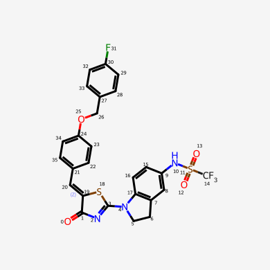 O=C1N=C(N2CCc3cc(NS(=O)(=O)C(F)(F)F)ccc32)S/C1=C\c1ccc(OCc2ccc(F)cc2)cc1